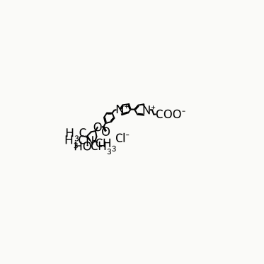 CC1(C)CC(OC(=O)c2ccc(C[n+]3ccc(-c4cc[n+](CCC(=O)[O-])cc4)cc3)cc2)CC(C)(C)N1O.[Cl-]